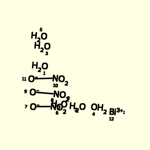 O.O.O.O.O.O.O=[N+]([O-])[O-].O=[N+]([O-])[O-].O=[N+]([O-])[O-].[Bi+3]